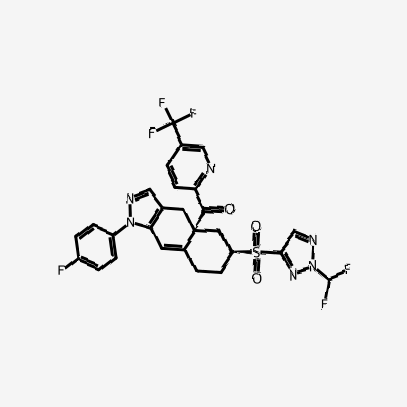 O=C(c1ccc(C(F)(F)F)cn1)[C@]12Cc3cnn(-c4ccc(F)cc4)c3C=C1CC[C@H](S(=O)(=O)c1cnn(C(F)F)n1)C2